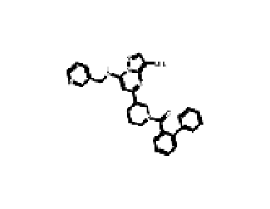 Bc1cnn2c(NCc3cccnc3)cc(C3CCCN(C(=O)c4ccccc4-c4ccccc4)C3)nc12